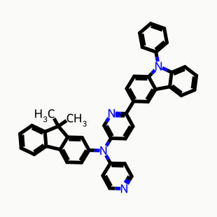 CC1(C)c2ccccc2-c2ccc(N(c3ccncc3)c3ccc(-c4ccc5c(c4)c4ccccc4n5-c4ccccc4)nc3)cc21